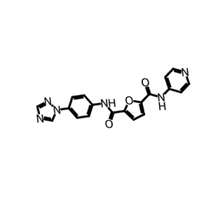 O=C(Nc1ccncc1)c1ccc(C(=O)Nc2ccc(-n3cncn3)cc2)o1